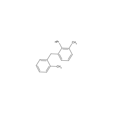 CCCc1c(C)cccc1Cc1ccccc1C